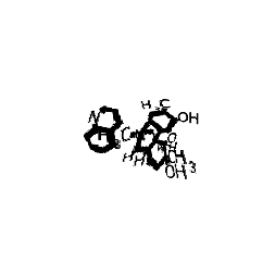 Cc1cc2c3c(c1O)O[C@@H]1[C@]34CCN(C)[C@H](C2)[C@@H]4C=C[C@]1(C)O.c1ccc2ncccc2c1